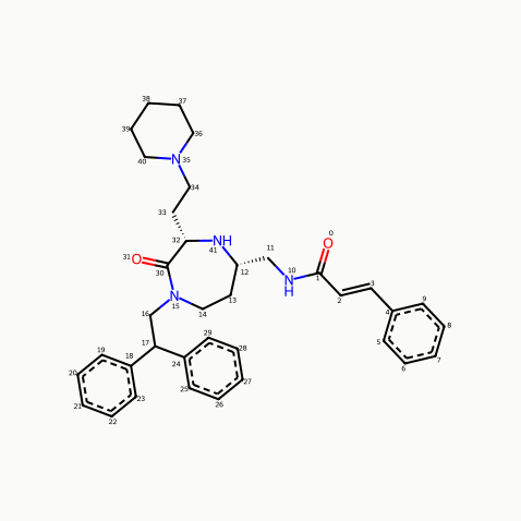 O=C(/C=C/c1ccccc1)NC[C@@H]1CCN(CC(c2ccccc2)c2ccccc2)C(=O)[C@H](CCN2CCCCC2)N1